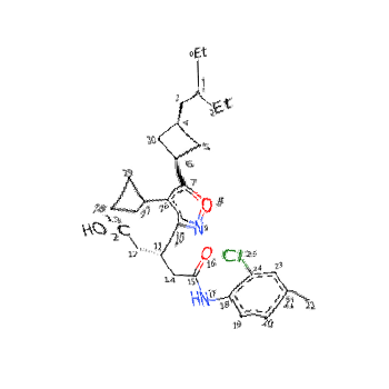 CCC(CC)C[C@H]1C[C@@H](c2onc([C@@H](CC(=O)O)CC(=O)Nc3ccc(C)cc3Cl)c2C2CC2)C1